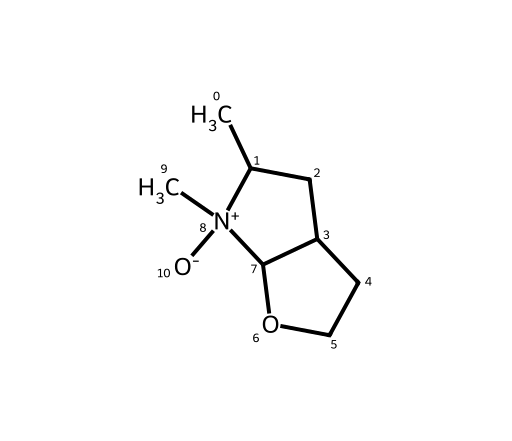 CC1CC2CCOC2[N+]1(C)[O-]